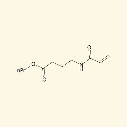 C=CC(=O)NCCCC(=O)OCCC